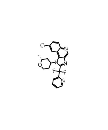 C[C@@H]1CC(n2c(C(F)(F)c3ccccn3)nc3cnc4ccc(Cl)cc4c32)CCO1